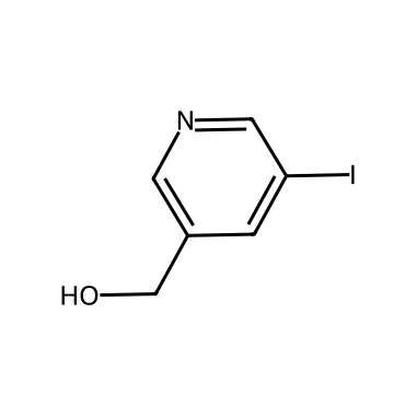 OCc1cncc(I)c1